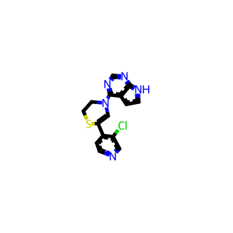 Clc1cnccc1C1=CN(c2ncnc3[nH]ccc23)CCS1